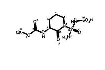 CC(C)(C)OC(=O)N[C@H]1CCCN([P@@](N)(=O)NS(=O)(=O)O)C1=O